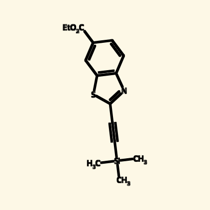 CCOC(=O)c1ccc2nc(C#C[Si](C)(C)C)sc2c1